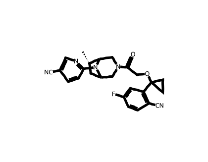 C[C@H]1CC2CN(C(=O)COC3(c4cc(F)ccc4C#N)CC3)CC1N2c1ccc(C#N)cn1